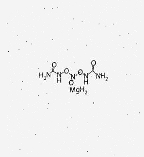 NC(=O)NO[N+](=O)ONC(N)=O.[MgH2]